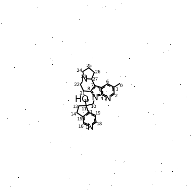 Cc1cnc2c(c1)c1c(n2CC2(O)CCc3cnccc32)CCN2CCCC12